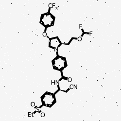 CCS(=O)(=O)c1ccc([C@H](CC#N)NC(=O)c2ccc(N3C[C@@H](Oc4ccc(C(F)(F)F)cc4)C[C@H]3CCOC(F)F)cc2)cc1